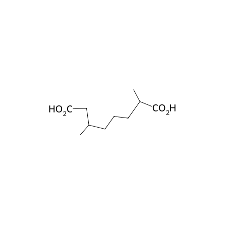 CC(CCCC(C)C(=O)O)CC(=O)O